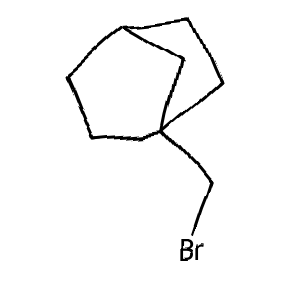 BrCC12CCC(CC1)C2